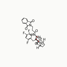 N[C@H](Cc1cc(F)c(F)cc1F)[C@@H]1C[C@H]2CC[C@@H](C1)N2S(=O)(=O)CCNC(=O)CCN1C(=O)c2ccccc2C1=O